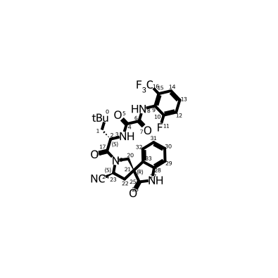 CC(C)(C)C[C@H](NC(=O)C(=O)Nc1c(F)cccc1C(F)(F)F)C(=O)N1C[C@]2(C[C@H]1C#N)C(=O)Nc1ccccc12